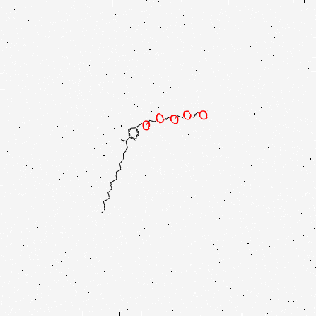 CCCCCCCCCCCCCCC(C)c1ccc(COCCOCCOCCOCCOC)cc1